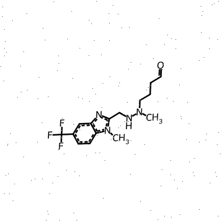 CN(CCCC=O)NCc1nc2cc(C(F)(F)F)ccc2n1C